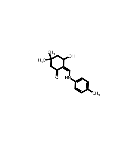 Cc1ccc(N/C=C2\C(=O)CC(C)(C)CC2O)cc1